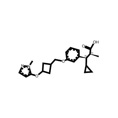 C[C@H](C(=O)O)[C@H](c1cccc(OCC2CC(Oc3ccnn3C)C2)c1)C1CC1